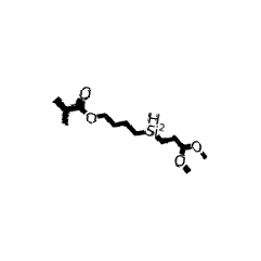 C=C(C)C(=O)OCCCC[SiH2]CCC(OC)OC